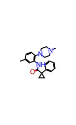 Cc1ccc(N2CCN(C)CC2)c(NC(=O)C2(c3ccccc3)CC2)c1